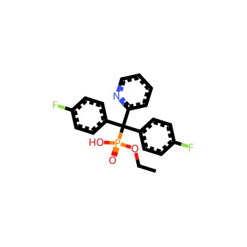 CCOP(=O)(O)C(c1ccc(F)cc1)(c1ccc(F)cc1)c1ccccn1